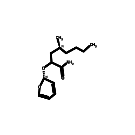 CCCC[C@H](C)CC(O[C@@H]1C=CC=CO1)C(N)=O